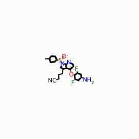 Cc1ccc([S+]([O-])n2cc(CCCC#N)c3c(Oc4c(F)cc(N)cc4F)ccnc32)cc1